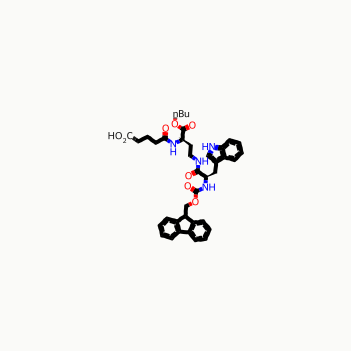 CCCCOC(=O)[C@@H](CCNC(=O)[C@@H](Cc1c[nH]c2ccccc12)NC(=O)OCC1c2ccccc2-c2ccccc21)NC(=O)CCCC(=O)O